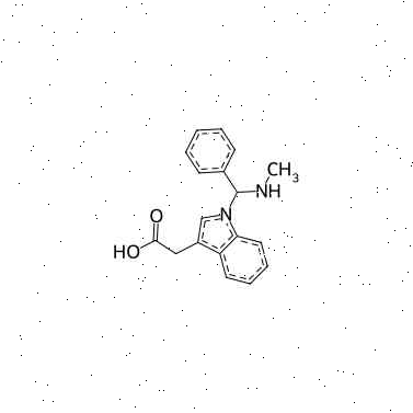 CNC(c1ccccc1)n1cc(CC(=O)O)c2ccccc21